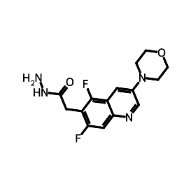 NNC(=O)Cc1c(F)cc2ncc(N3CCOCC3)cc2c1F